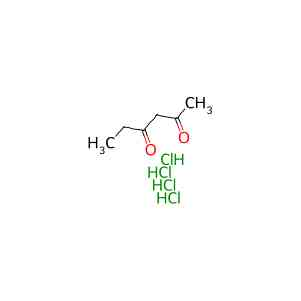 CCC(=O)CC(C)=O.Cl.Cl.Cl.Cl